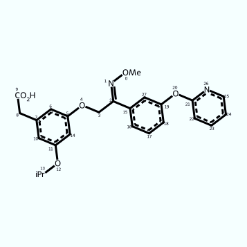 CON=C(COc1cc(CC(=O)O)cc(OC(C)C)c1)c1cccc(Oc2ccccn2)c1